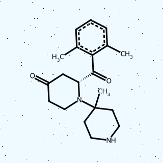 Cc1cccc(C)c1C(=O)[C@H]1CC(=O)CCN1C1(C)CCNCC1